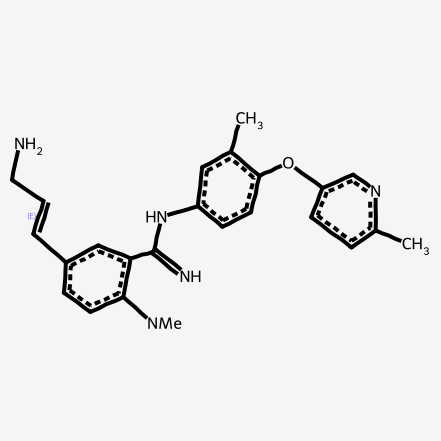 CNc1ccc(/C=C/CN)cc1C(=N)Nc1ccc(Oc2ccc(C)nc2)c(C)c1